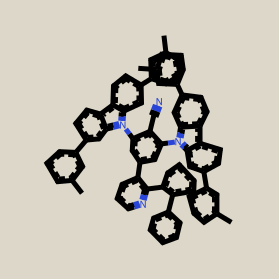 Cc1cccc(-c2ccc3c4ccc(-c5cccc(C)c5)cc4n(-c4cc(-c5cccnc5-c5ccccc5-c5ccccc5)cc(-n5c6cc(-c7cccc(C)c7)ccc6c6ccc(-c7cccc(C)c7)cc65)c4C#N)c3c2)c1